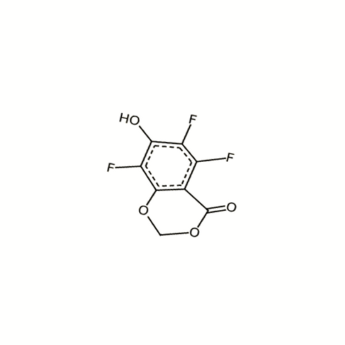 O=C1OCOc2c(F)c(O)c(F)c(F)c21